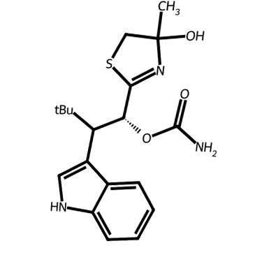 CC1(O)CSC([C@H](OC(N)=O)C(c2c[nH]c3ccccc23)C(C)(C)C)=N1